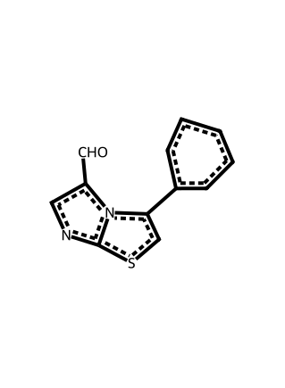 O=Cc1cnc2scc(-c3ccccc3)n12